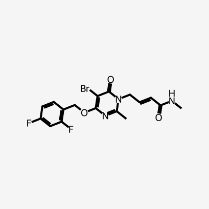 CNC(=O)/C=C/Cn1c(C)nc(OCc2ccc(F)cc2F)c(Br)c1=O